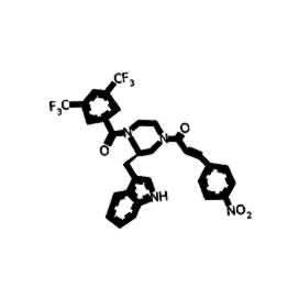 O=C(C=Cc1ccc([N+](=O)[O-])cc1)N1CCN(C(=O)c2cc(C(F)(F)F)cc(C(F)(F)F)c2)[C@H](Cc2c[nH]c3ccccc23)C1